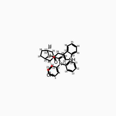 O=C(N(c1ccccc1)c1ccccc1)N1C[C@@H]2CCC([C@H]1CCO)N2C(=O)Cc1c[nH]c2ccccc12